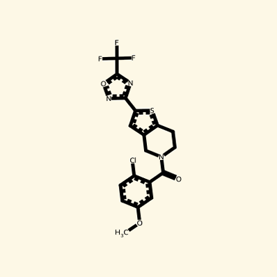 COc1ccc(Cl)c(C(=O)N2CCc3sc(-c4noc(C(F)(F)F)n4)cc3C2)c1